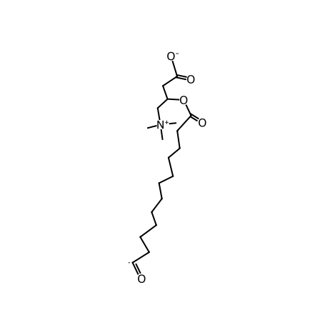 C[N+](C)(C)CC(CC(=O)[O-])OC(=O)CCCCCCCCCC[C]=O